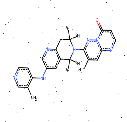 [2H]C1([2H])Cc2ncc(Nc3ccncc3C)cc2C([2H])([2H])N1c1nn2c(=O)ccnc2cc1C